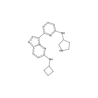 c1cc(NC2CCNC2)nc(-c2cnc3ccc(NC4CCC4)nn23)c1